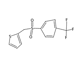 O=S(=O)(Cc1cccs1)c1ccc(C(F)(F)F)cc1